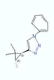 C[C@H]1[C@H](c2cn(-c3ccccc3)nn2)C1(C)C